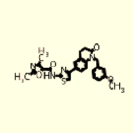 COc1cccc(CN2C(=O)CCc3cc(-c4csc(NC(=O)c5oc(C)nc5C)n4)ccc32)c1